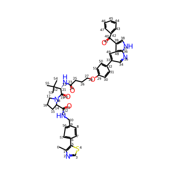 Cc1ncsc1-c1ccc(CNC(=O)C2CCCN2C(=O)[C@@H](NC(=O)CCCOc2ccc(-c3cnc4[nH]cc(C(=O)c5ccccc5)c4c3)cc2)C(C)(C)C)cc1